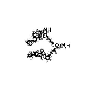 [2H]C(C)(C)N(Cc1ccccc1OC/C=C(\C)CCC(=O)O)C(=O)c1ccc(-c2ccco2)cc1.[2H]C([2H])(C1CNCC1OCCCCCC(=O)O)N(C(=O)c1ccc(-c2ccco2)cc1)C(C)C